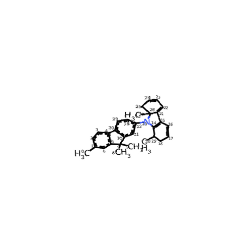 Cc1ccc2c(c1)C(C)(C)c1cc(N3C4=C(C=CCC4C)C4=CC=CCC43C)ccc1-2